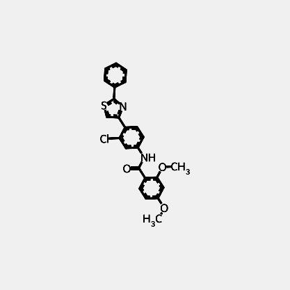 COc1ccc(C(=O)Nc2ccc(-c3csc(-c4ccccc4)n3)c(Cl)c2)c(OC)c1